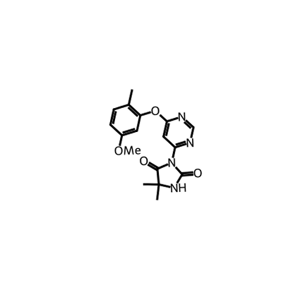 COc1ccc(C)c(Oc2cc(N3C(=O)NC(C)(C)C3=O)ncn2)c1